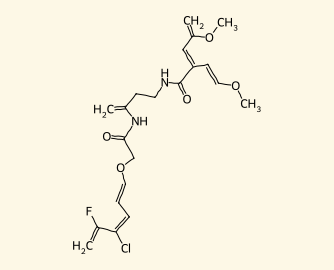 C=C(CCNC(=O)C(/C=C/OC)=C/C(=C)OC)NC(=O)CO/C=C/C=C(/Cl)C(=C)F